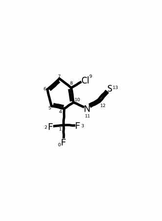 FC(F)(F)c1cccc(Cl)c1N=C=S